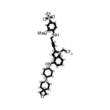 CCS(=O)(=O)c1ccc(NCC#Cc2cc3c(N[C@H]4CC[C@H](N5CCC6(CC5)COC6)CC4)cccc3n2CC(F)(F)F)c(OC)c1